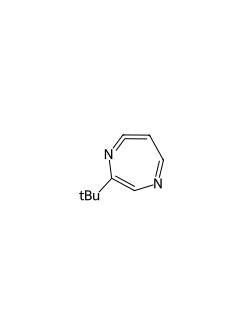 CC(C)(C)C1=CN=CC=C=N1